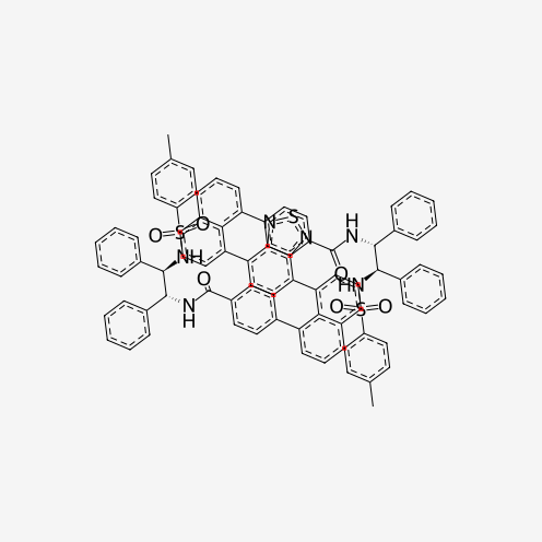 Cc1ccc(S(=O)(=O)N[C@H](c2ccccc2)[C@H](NC(=O)c2ccc(-c3cccc4cccc(-c5ccc(-c6cccc7cccc(-c8ccc(C(=O)N[C@H](c9ccccc9)[C@H](NS(=O)(=O)c9ccc(C)cc9)c9ccccc9)cc8)c67)c6nsnc56)c34)cc2)c2ccccc2)cc1